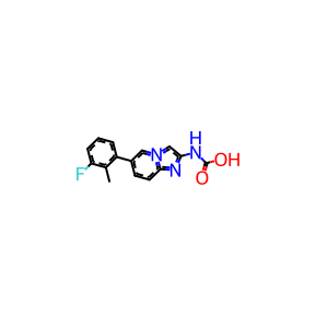 Cc1c(F)cccc1-c1ccc2nc(NC(=O)O)cn2c1